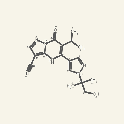 CC(C)c1c(-c2cnn(C(C)(C)CO)c2)[nH]c2c(C#N)cnn2c1=O